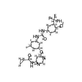 Cc1cc(NC(=O)Nc2ccc(Cl)c(C(F)(F)P)c2)cc(Oc2cc(NC(=O)C3CC3)ncn2)c1